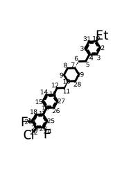 CCc1ccc(CC[C@H]2CC[C@H](CCc3ccc(-c4cc(F)c(Cl)c(F)c4)cc3)CC2)cc1